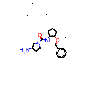 N[C@@H]1CCN(C(=O)N[C@H]2CCC[C@@H]2OCc2ccccc2)C1